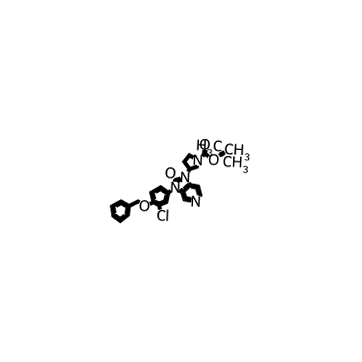 CC(C)(C)OC(=O)N1CCC(n2c(=O)n(-c3ccc(OCc4ccccc4)c(Cl)c3)c3cnccc32)C1